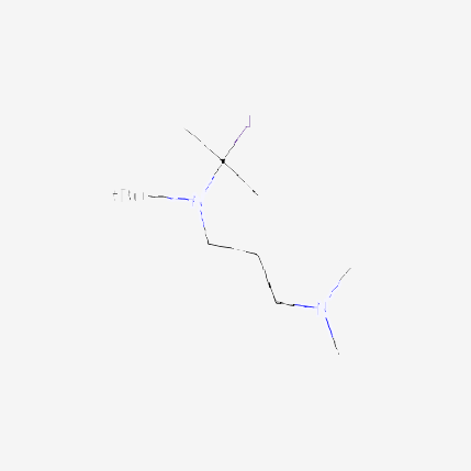 CN(C)CCCN(C(C)(C)C)C(C)(C)I